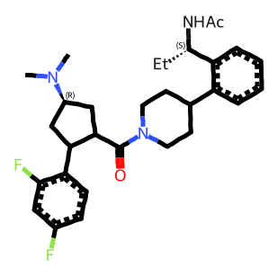 CC[C@H](NC(C)=O)c1ccccc1C1CCN(C(=O)C2C[C@H](N(C)C)CC2c2ccc(F)cc2F)CC1